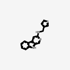 c1ccc2c(c1)[nH]c1cnc(NCc3ccsc3)cc12